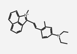 CCN(CC)c1ccc(C=CC2=[N+](C)c3cccc4cccc2c34)c(C)c1